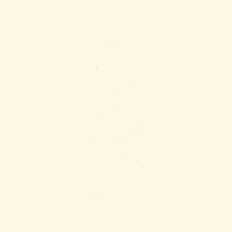 CCCC1CCC(COC2CCC(OCC)C(F)C2F)CC1